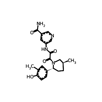 Cc1cc([C@H]2CC[C@H](C)CN2C(=O)C(=O)Nc2cncc(C(N)=O)c2)ccc1O